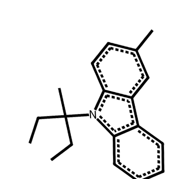 CCC(C)(CC)n1c2ccccc2c2cc(C)ccc21